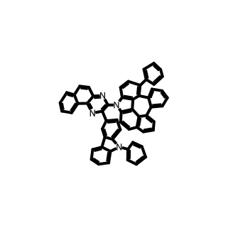 c1ccc(-c2ccc3c4c2-c2ccccc2-c2cccc5ccc(c4c25)n3-c2nc3ccc4ccccc4c3nc2-c2ccc3c(c2)c2ccccc2n3-c2ccccc2)cc1